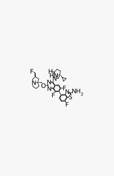 Nc1nc2c(-c3c(F)cc4c(N5C[C@@H]6CC[C@](C7CC7)(C5)N6)nc(OC[C@@]56CCCN5C/C(=C\F)C6)nc4c3F)ccc(F)c2s1